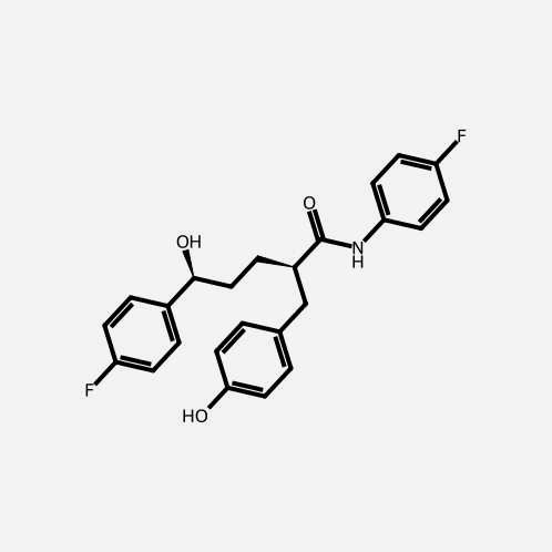 O=C(Nc1ccc(F)cc1)[C@H](CC[C@H](O)c1ccc(F)cc1)Cc1ccc(O)cc1